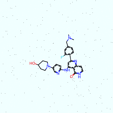 CN(C)Cc1ccc(-c2cc(Nc3ccc(N4CCC(O)CC4)cn3)c3c(=O)[nH]ccc3n2)c(F)c1